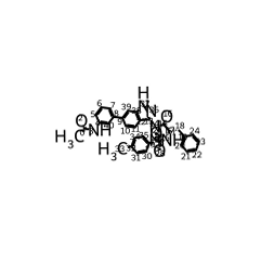 CC(=O)Nc1cccc(-c2ccc3c(NC(=O)[C@H](Cc4ccccc4)NS(=O)(=O)c4ccc(C)cc4)n[nH]c3c2)c1